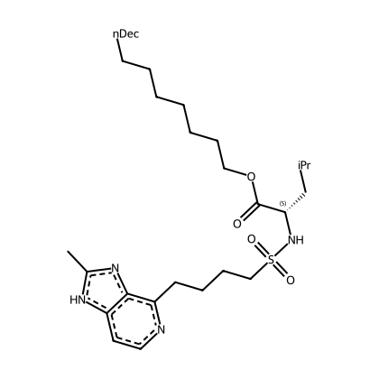 CCCCCCCCCCCCCCCCCOC(=O)[C@H](CC(C)C)NS(=O)(=O)CCCCc1nccc2[nH]c(C)nc12